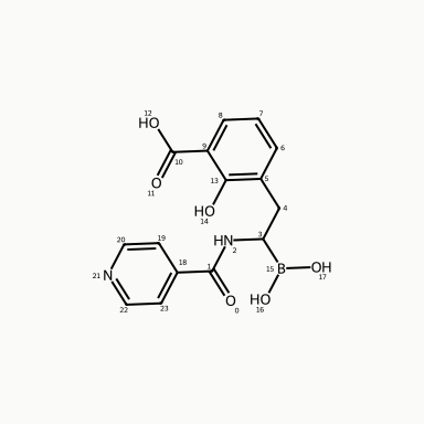 O=C(NC(Cc1cccc(C(=O)O)c1O)B(O)O)c1ccncc1